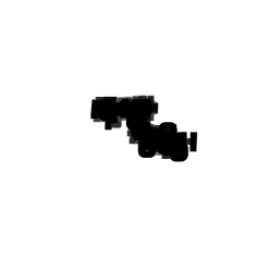 O=C1CC[C@@H](N2Cc3cc(O[C@H]4CCCC[C@@H]4N4CC(c5ccncc5F)C4)ccc3C2=O)C(=O)N1